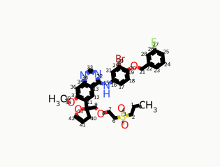 CCCS(=O)(=O)CCOCC1(c2cc3c(Nc4ccc(OCc5cccc(F)c5)c(Br)c4)ncnc3cc2OC)CC=CO1